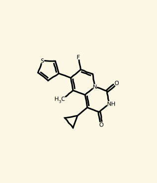 Cc1c(-c2ccsc2)c(F)cn2c(=O)[nH]c(=O)c(C3CC3)c12